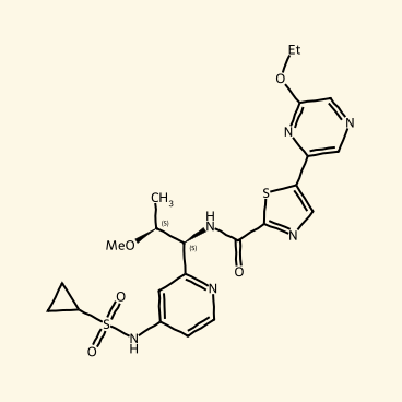 CCOc1cncc(-c2cnc(C(=O)N[C@@H](c3cc(NS(=O)(=O)C4CC4)ccn3)[C@H](C)OC)s2)n1